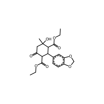 CCOC(=O)C1C(=O)CC(C)(O)C(C(=O)OCC)C1c1ccc2c(c1)OCO2